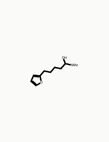 CNC(O)CCCCc1ccco1